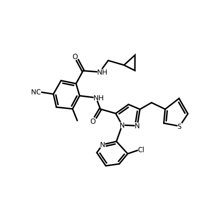 Cc1cc(C#N)cc(C(=O)NCC2CC2)c1NC(=O)c1cc(Cc2ccsc2)nn1-c1ncccc1Cl